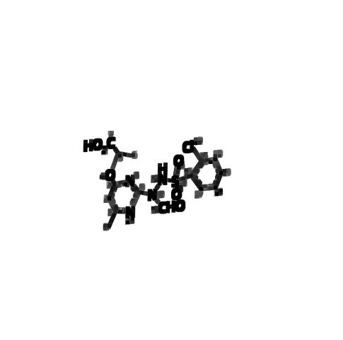 Cc1cc(OC(C)C(=O)O)nc(N(C=O)NS(=O)(=O)c2ccccc2Cl)n1